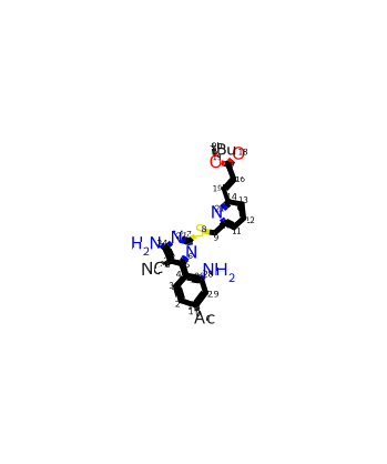 CC(=O)c1ccc(-c2nc(SCc3cccc(C=CC(=O)OC(C)(C)C)n3)nc(N)c2C#N)c(N)c1